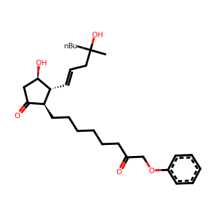 CCCCC(C)(O)C/C=C/[C@H]1[C@H](O)CC(=O)[C@@H]1CCCCCCC(=O)COc1ccccc1